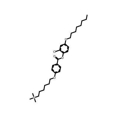 CCCCCCCCOc1ccc(OC(=O)c2ccc(OCCCCCC[Si](C)(C)C)cc2)c(Cl)c1